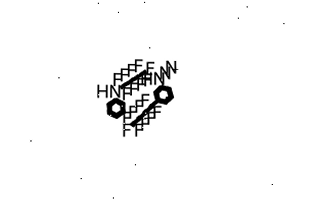 FC(F)(F)C(F)(F)C(F)(F)C(F)(F)Nc1ccccc1.N#[N+]Nc1cccc(C(F)(F)C(F)(F)C(F)(F)C(F)(F)F)c1